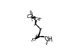 [O]=[Ge][CH2]CC(=O)O